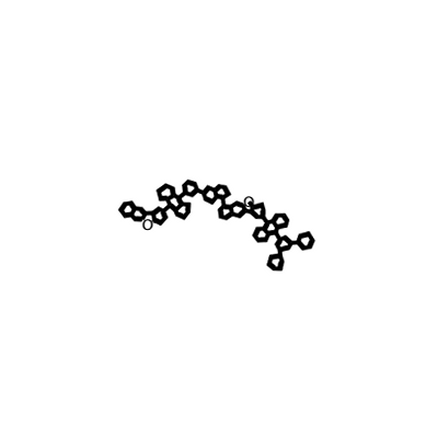 c1ccc(-c2cc(-c3ccccc3)cc(-c3c4ccccc4c(-c4ccc5oc6cc7c(-c8cccc9cc(-c%10cccc(-c%11c%12ccccc%12c(-c%12ccc%13oc%14cc%15ccccc%15cc%14c%13c%12)c%12ccccc%11%12)c%10)ccc89)cccc7cc6c5c4)c4ccccc34)c2)cc1